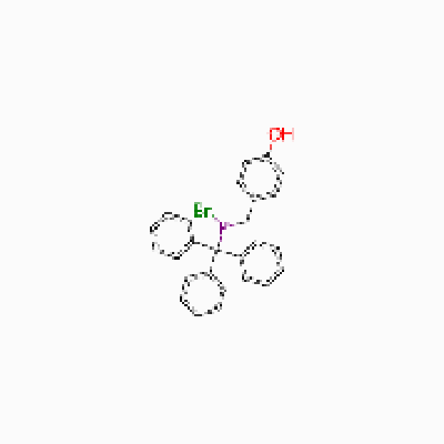 Oc1ccc(CP(Br)C(c2ccccc2)(c2ccccc2)c2ccccc2)cc1